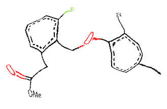 CCc1cc(C)ccc1OCc1c(F)cccc1CC(=O)OC